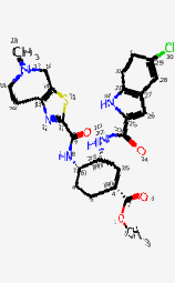 COC(=O)[C@@H]1CC[C@H](NC(=O)c2nc3c(s2)CN(C)CC3)[C@H](NC(=O)c2cc3cc(Cl)ccc3[nH]2)C1